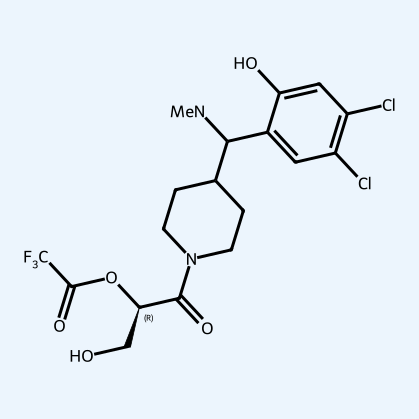 CNC(c1cc(Cl)c(Cl)cc1O)C1CCN(C(=O)[C@@H](CO)OC(=O)C(F)(F)F)CC1